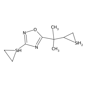 CC(C)(c1nc([SiH]2CC2)no1)C1C[SiH2]1